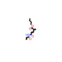 C=CC(=O)NC(=O)C=CC(=C)C(=O)OCCCC